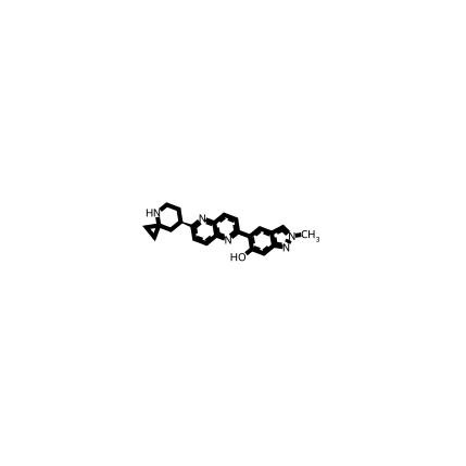 Cn1cc2cc(-c3ccc4nc([C@@H]5CCNC6(CC6)C5)ccc4n3)c(O)cc2n1